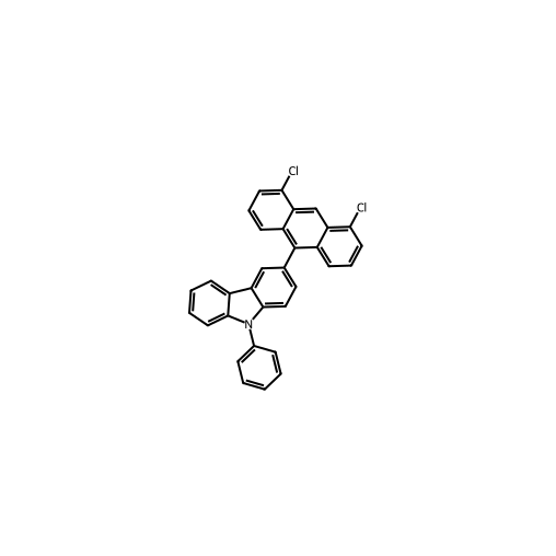 Clc1cccc2c(-c3ccc4c(c3)c3ccccc3n4-c3ccccc3)c3cccc(Cl)c3cc12